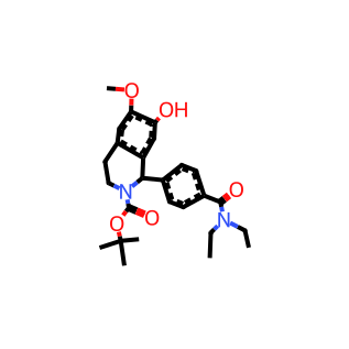 CCN(CC)C(=O)c1ccc(C2c3cc(O)c(OC)cc3CCN2C(=O)OC(C)(C)C)cc1